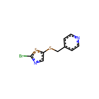 Brc1ncc(SCc2ccncc2)s1